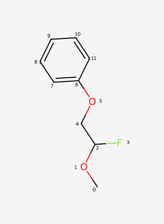 COC(F)COc1c[c]ccc1